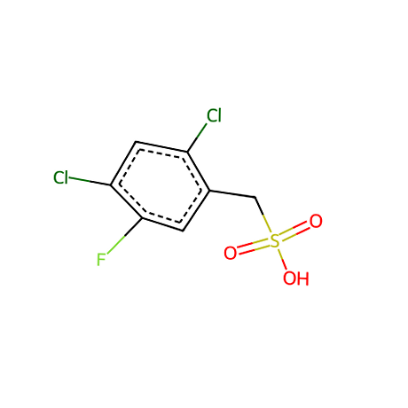 O=S(=O)(O)Cc1cc(F)c(Cl)cc1Cl